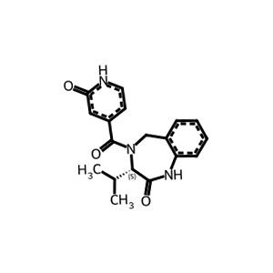 CC(C)[C@H]1C(=O)Nc2ccccc2CN1C(=O)c1cc[nH]c(=O)c1